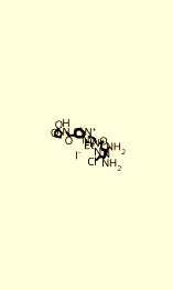 CCn1c(CNC(=O)c2nc(Cl)c(N)nc2N)[n+](C)c2ccc(C(=O)N[C@H]3CCOC3=O)cc21.[I-]